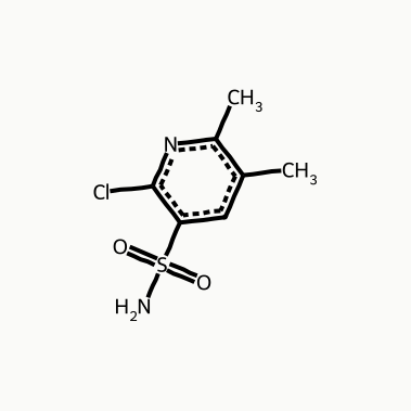 Cc1cc(S(N)(=O)=O)c(Cl)nc1C